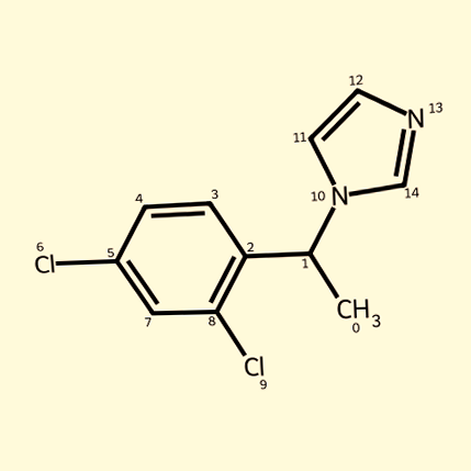 CC(c1ccc(Cl)cc1Cl)n1ccnc1